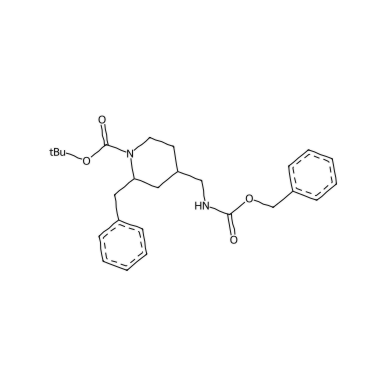 CC(C)(C)OC(=O)N1CCC(CNC(=O)OCc2ccccc2)CC1Cc1ccccc1